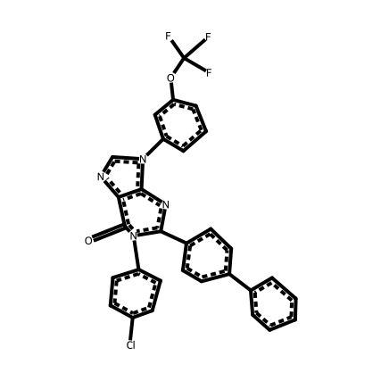 O=c1c2ncn(-c3cccc(OC(F)(F)F)c3)c2nc(-c2ccc(-c3ccccc3)cc2)n1-c1ccc(Cl)cc1